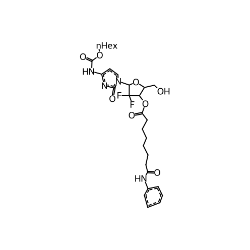 CCCCCCOC(=O)Nc1ccn(C2OC(CO)C(OC(=O)CCCCCCC(=O)Nc3ccccc3)C2(F)F)c(=O)n1